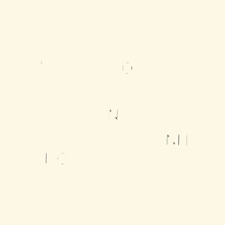 [O]CCN1C(=O)CNCC1CO